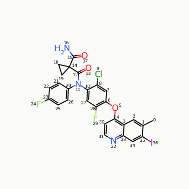 Cc1cc2c(Oc3cc(Cl)c(N(C(=O)C4(C(N)=O)CC4)c4ccc(F)cc4)cc3F)ccnc2cc1I